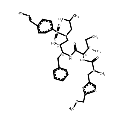 CC[C@H](C)[C@H](NC(=O)N(C)Cc1csc(COC)n1)C(=O)N[C@@H](Cc1ccccc1)[C@H](O)CN(CC(C)C)S(=O)(=O)c1ccc(C=NO)cc1